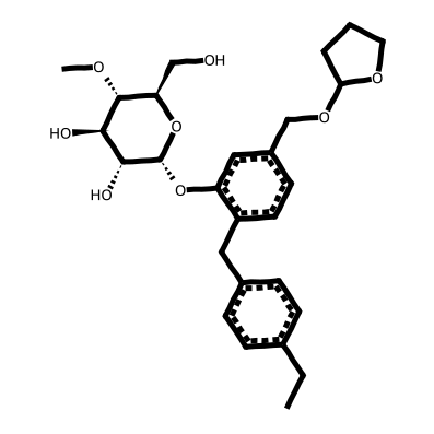 CCc1ccc(Cc2ccc(COC3CCCO3)cc2O[C@H]2O[C@H](CO)[C@@H](OC)[C@H](O)[C@H]2O)cc1